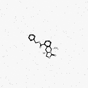 C[C@H]1c2cccc(C(=O)OCc3ccccc3)c2C[C@@H]2COC(=O)N21